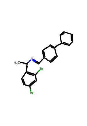 CC(N=Cc1ccc(-c2ccccc2)cc1)c1ccc(Br)cc1Br